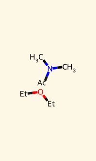 CC(=O)N(C)C.CCOCC